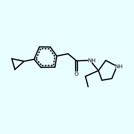 CCC1(NC(=O)Cc2ccc(C3CC3)cc2)CCNC1